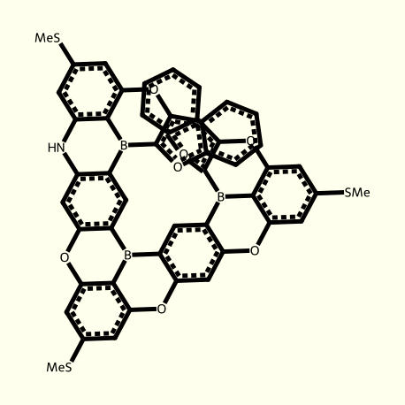 CSc1cc2c3c(c1)Oc1c(oc4ccccc14)B3c1cc3c(cc1N2)Oc1cc(SC)cc2c1B3c1cc3c(cc1O2)Oc1cc(SC)cc2c1B3c1oc3ccccc3c1O2